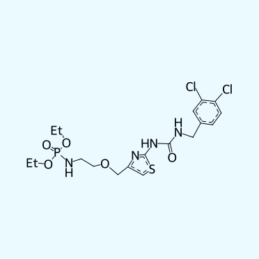 CCOP(=O)(NCCOCc1csc(NC(=O)NCc2ccc(Cl)c(Cl)c2)n1)OCC